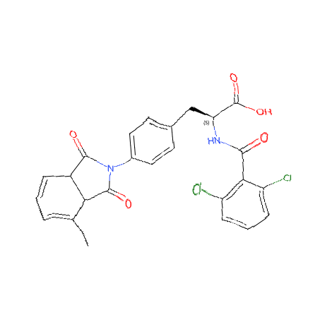 CC1=CC=CC2C(=O)N(c3ccc(C[C@H](NC(=O)c4c(Cl)cccc4Cl)C(=O)O)cc3)C(=O)C12